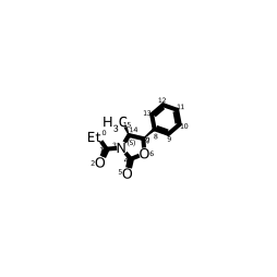 CCC(=O)N1C(=O)O[C@H](c2ccccc2)[C@@H]1C